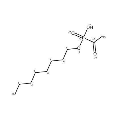 CCCCCCCCOP(=O)(O)C(C)=O